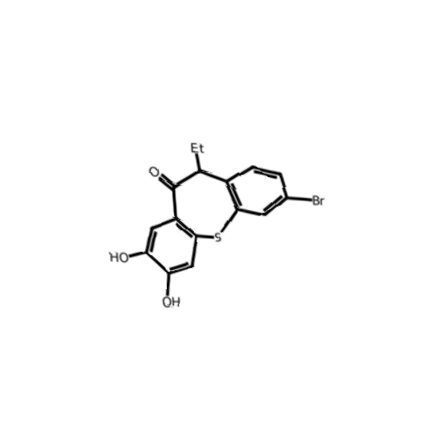 CCC1C(=O)c2cc(O)c(O)cc2Sc2cc(Br)ccc21